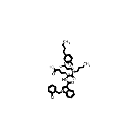 CCCCc1ccc(C[C@@H](CC(N)=O)N(CCCC)C(=O)[C@H](CCCC(=O)O)NC(=O)c2cn(Cc3ccccc3Cl)c3ccccc23)cc1